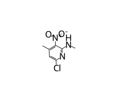 CNc1nc(Cl)cc(C)c1[N+](=O)[O-]